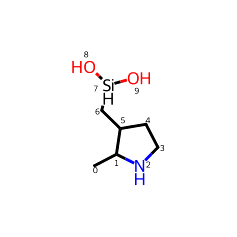 CC1NCCC1C[SiH](O)O